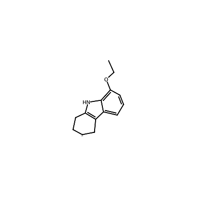 CCOc1cccc2c3c([nH]c12)CC[C]C3